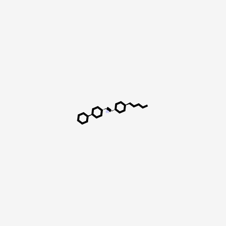 CCCCC[C@H]1CC[C@H](/C=C/[C@H]2CC[C@H](C3CCCCC3)CC2)CC1